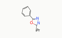 CC(C)c1nnc(-c2ccccc2)o1